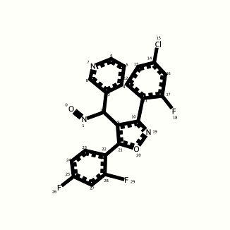 O=NC(c1cccnc1)c1c(-c2ccc(Cl)cc2F)noc1-c1ccc(F)cc1F